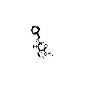 COC(=O)[C@H](CC(C)C)NC(=O)OCc1ccccc1